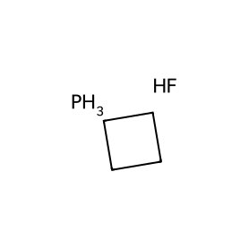 C1CCC1.F.P